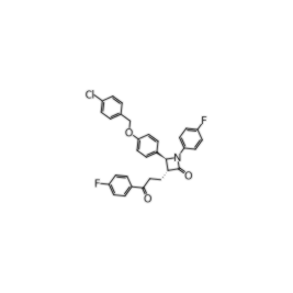 O=C(CC[C@H]1C(=O)N(c2ccc(F)cc2)[C@@H]1c1ccc(OCc2ccc(Cl)cc2)cc1)c1ccc(F)cc1